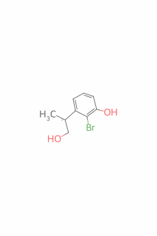 C[C](CO)c1cccc(O)c1Br